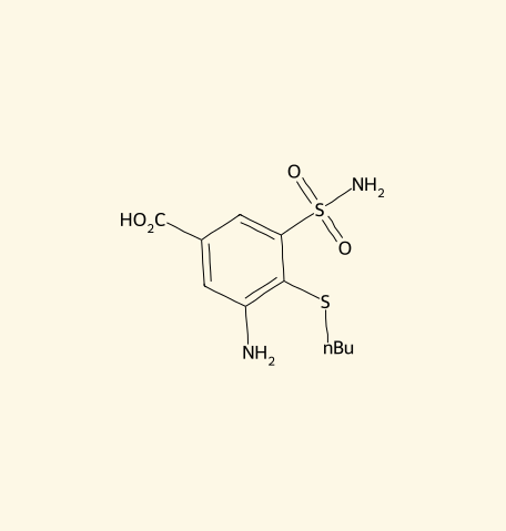 CCCCSc1c(N)cc(C(=O)O)cc1S(N)(=O)=O